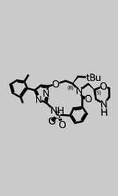 Cc1cccc(C)c1-c1cc2nc(n1)NS(=O)(=O)c1cccc(c1)C(=O)N(C[C@@H]1CNCCO1)[C@H](CC(C)(C)C)CO2